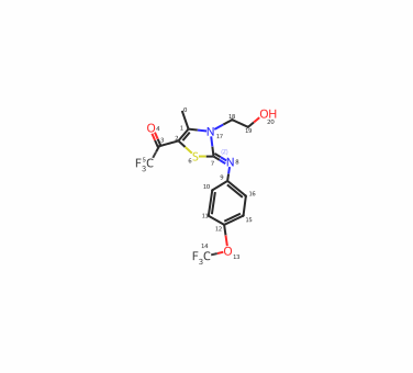 Cc1c(C(=O)C(F)(F)F)s/c(=N\c2ccc(OC(F)(F)F)cc2)n1CCO